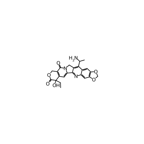 CCC1(O)C(=O)OCc2c1cc1n(c2=O)Cc2c-1nc1cc3c(cc1c2C(C)N)OCO3